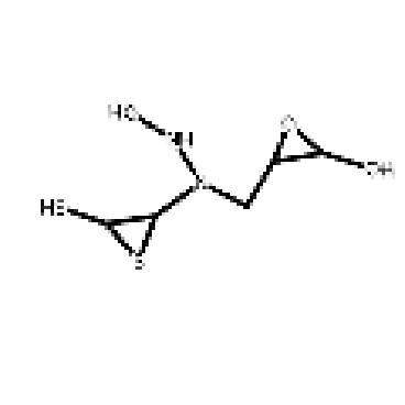 ONN(CC1OC1O)C1SC1S